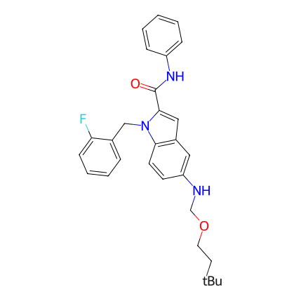 CC(C)(C)CCOCNc1ccc2c(c1)cc(C(=O)Nc1ccccc1)n2Cc1ccccc1F